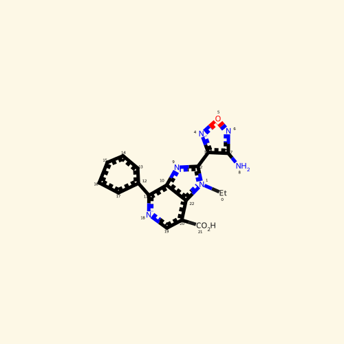 CCn1c(-c2nonc2N)nc2c(-c3ccccc3)ncc(C(=O)O)c21